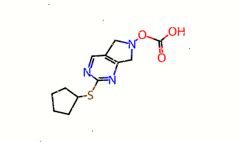 O=C(O)ON1Cc2cnc(SC3CCCC3)nc2C1